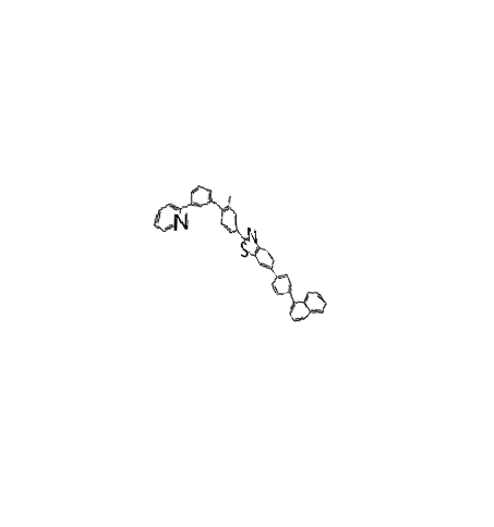 Cc1cc(-c2nc3ccc(-c4ccc(-c5cccc6ccccc56)cc4)cc3s2)ccc1-c1cccc(-c2ccccn2)c1